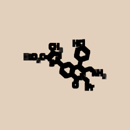 CCOC(=O)c1sc(-c2ccc3c(=O)n(CC(C)C)c(CN)c(-c4ccccc4)c3c2)nc1C.Cl